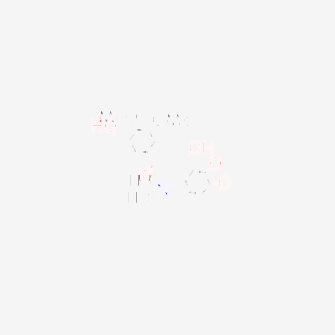 COc1cc(C(=O)CC2c3c(cc4c(c3CO)OCO4)CC[N+]2(C)C)cc(CO)c1OC